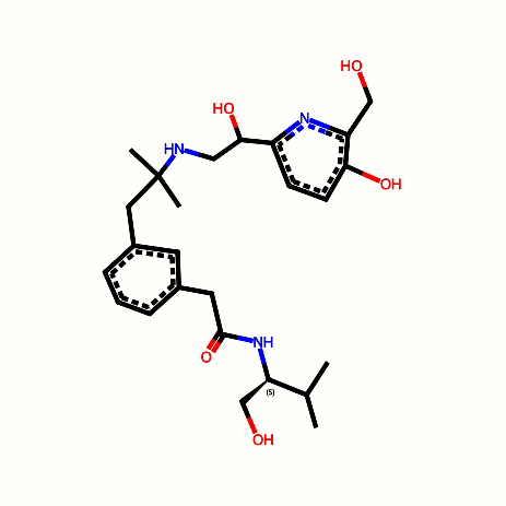 CC(C)[C@@H](CO)NC(=O)Cc1cccc(CC(C)(C)NCC(O)c2ccc(O)c(CO)n2)c1